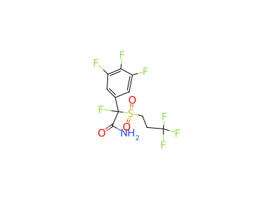 NC(=O)C(F)(c1cc(F)c(F)c(F)c1)S(=O)(=O)CCC(F)(F)F